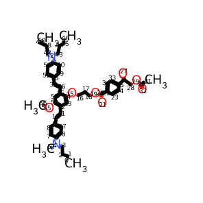 CCCCN(C)c1ccc(/C=C/c2cc(OCCCOC(=O)c3ccc(C(=O)COC(C)=O)cc3)c(/C=C/c3ccc(N(CCCC)CCCC)cc3)cc2OC)cc1